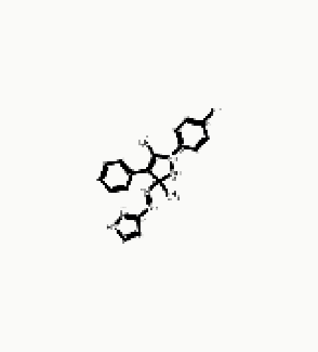 NC1=C(c2ccccc2)C(N)(N=Nc2cc[nH]n2)NN1c1ccc(F)cc1